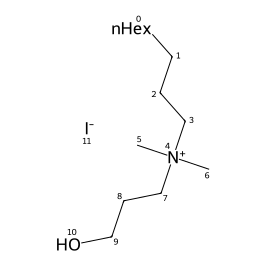 CCCCCCCCC[N+](C)(C)CCCO.[I-]